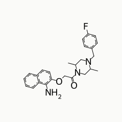 CC1CN(C(=O)COc2ccc3ccccc3c2N)C(C)CN1Cc1ccc(F)cc1